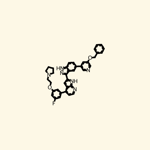 Fc1cc(OCCN2CCCC2)cc(-c2ccnc3[nH]c(-c4n[nH]c5ccc(-c6cncc(OCc7ccccc7)c6)cc45)cc23)c1